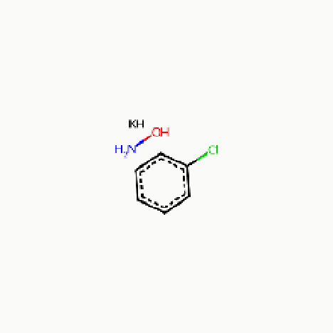 Clc1ccccc1.NO.[KH]